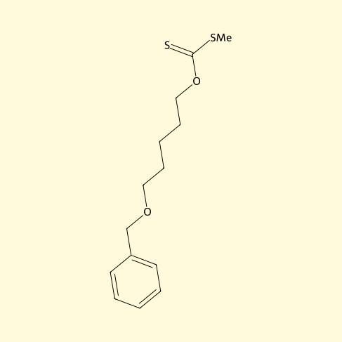 CSC(=S)OCCCCCOCc1ccccc1